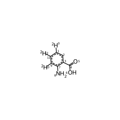 [2H]c1cc(C(=O)O)c(N)c([2H])c1[2H]